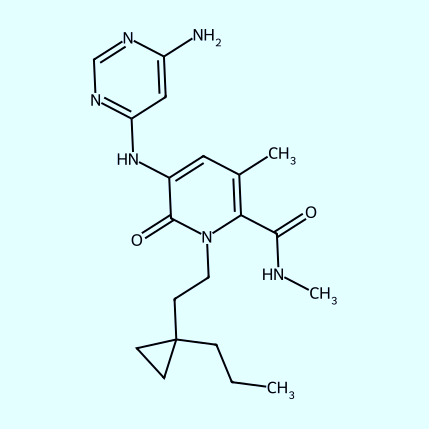 CCCC1(CCn2c(C(=O)NC)c(C)cc(Nc3cc(N)ncn3)c2=O)CC1